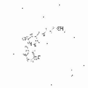 CCCCCCc1ccn(Cc2cccc(F)c2)c(=O)c1